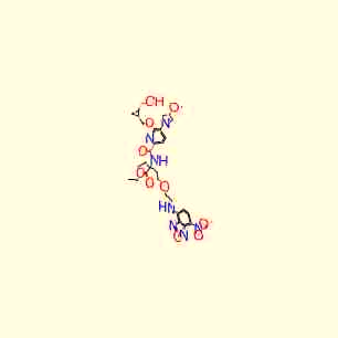 CCOC(=O)C(CC)(CCOCCNc1ccc([N+](=O)[O-])c2nonc12)NC(=O)c1ccc(N2CC(OC)C2)c(OC[C@H]2C[C@@H]2CO)n1